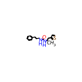 CC(Cc1ccsc1)NC(=O)NCCCc1ccccc1